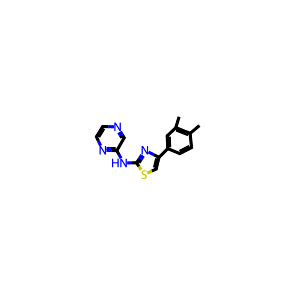 Cc1ccc(-c2csc(Nc3cnccn3)n2)cc1C